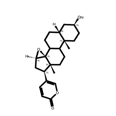 C[C@]12CC[C@H](O)C[C@H]1CCC1C2CC[C@]2(C)[C@@H](c3ccc(=O)oc3)C[C@H]3O[C@]132